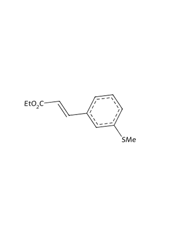 CCOC(=O)C=Cc1cccc(SC)c1